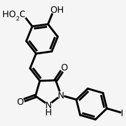 O=C1NN(c2ccc(I)cc2)C(=O)C1=Cc1ccc(O)c(C(=O)O)c1